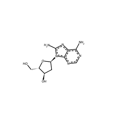 Nc1ncnc2c1nc(N)n2[C@H]1C[C@@H](O)[C@H](CO)O1